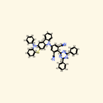 N#Cc1cc(-n2c3ccccc3c3cc4c(cc32)Sc2ccccc2N4c2ccccc2)cc(C#N)c1-c1nc(-c2ccccc2)nc(-c2ccccc2)n1